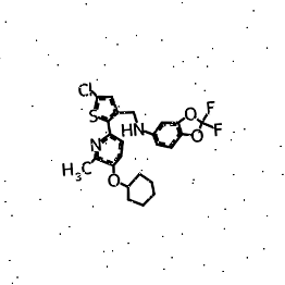 Cc1nc(-c2sc(Cl)cc2CNc2ccc3c(c2)OC(F)(F)O3)ccc1OC1CCCCC1